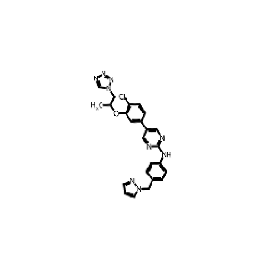 CC(Cn1cnnn1)Oc1cc(-c2cnc(Nc3ccc(Cn4cccn4)cc3)nc2)ccc1Cl